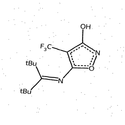 CC(C)(C)C(=Nc1onc(O)c1C(F)(F)F)C(C)(C)C